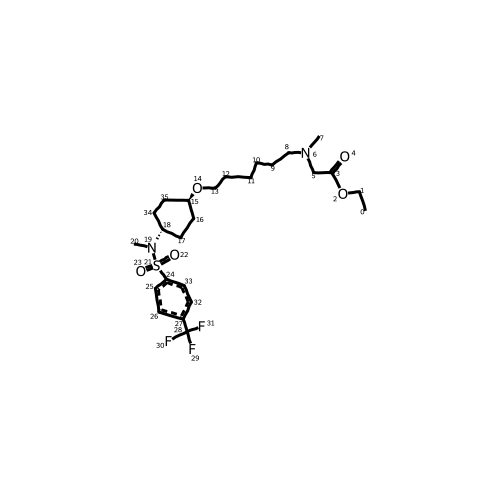 CCOC(=O)CN(C)CCCCCCO[C@H]1CC[C@H](N(C)S(=O)(=O)c2ccc(C(F)(F)F)cc2)CC1